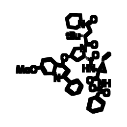 C=C[C@@H]1C[C@]1(NC(=O)[C@@H]1C[C@@H](Oc2cc(-c3ccccc3)nc3cc(OC)ccc23)CN1C(=O)[C@@H](CC(=O)N1CCCCC1)C(C)(C)C)C(=O)NS(=O)(=O)c1ccccc1